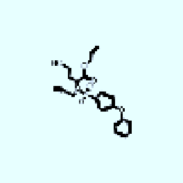 C#CCN(C(CCO)C(=O)OCC=C)S(=O)(=O)c1ccc(Oc2ccccc2)cc1